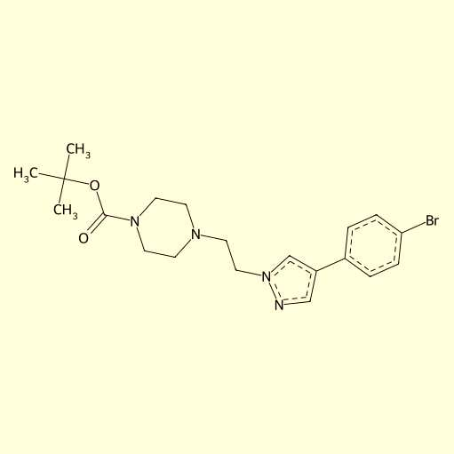 CC(C)(C)OC(=O)N1CCN(CCn2cc(-c3ccc(Br)cc3)cn2)CC1